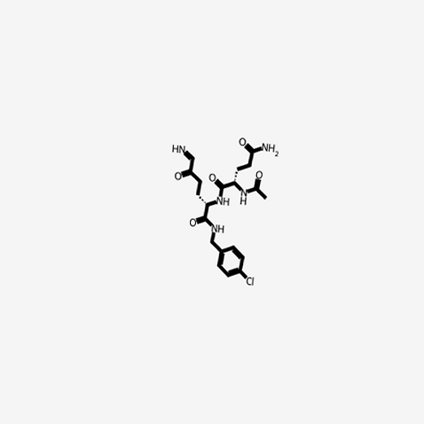 CC(=O)N[C@@H](CCC(N)=O)C(=O)N[C@@H](CCC(=O)C=N)C(=O)NCc1ccc(Cl)cc1